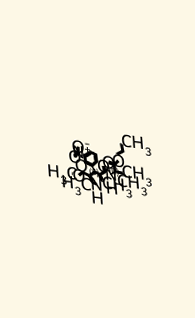 CCCCOC(=O)[C@H](NC(=O)C1=C(C)NC(C)=C(C(=O)OC)[C@H]1c1cccc([N+](=O)[O-])c1)C(C)C